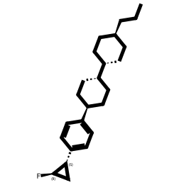 CCC[C@H]1CC[C@H]([C@H]2CC[C@H](c3ccc([C@@H]4C[C@H]4F)cc3)CC2)CC1